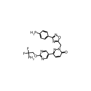 O=c1ccc(-c2cnc(OCC(F)(F)P)nc2)nn1Cc1nc(-c2ccc(P)cc2)no1